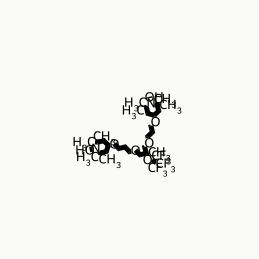 CC(COCCCOC1CC(C)(C)N(O)C(C)(C)C1)(COCCCOC1CC(C)(C)N(O)C(C)(C)C1)OC(C(F)(F)F)(C(F)(F)F)C(F)(F)F